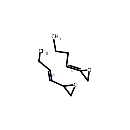 CC/C=C/C1CO1.CCC/C=C1/CO1